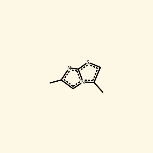 Cc1cn2c(C)csc2n1